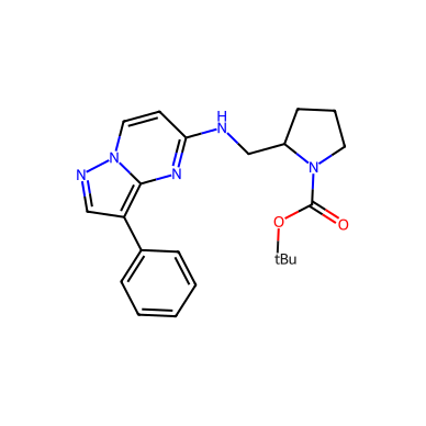 CC(C)(C)OC(=O)N1CCCC1CNc1ccn2ncc(-c3ccccc3)c2n1